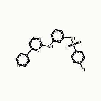 O=S(=O)(Nc1cccc(Nc2nccc(-c3ccncc3)n2)c1)c1ccc(Cl)cc1